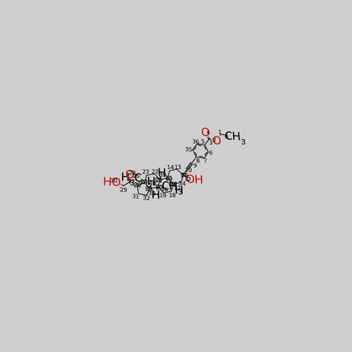 CCOC(=O)c1ccc(C#C[C@@]2(O)CC[C@@]3(C)[C@H](CC[C@@H]4[C@@H]3CC[C@]3(C)[C@@H](C(=O)CO)CC[C@@H]43)C2)cc1